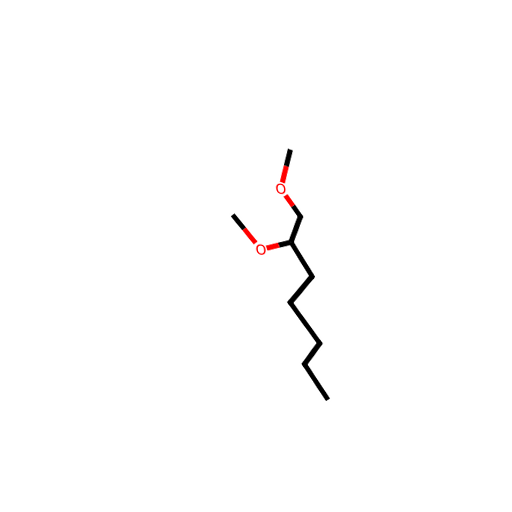 CCCCCC(COC)OC